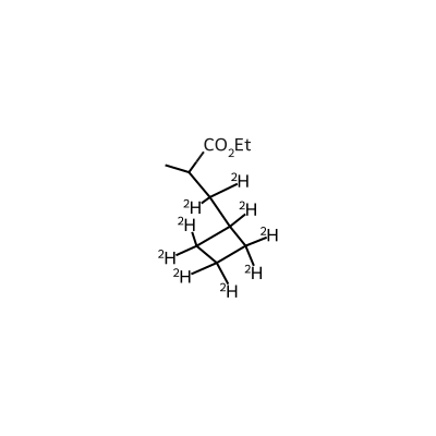 [2H]C([2H])(C(C)C(=O)OCC)C1([2H])C([2H])([2H])C([2H])([2H])C1([2H])[2H]